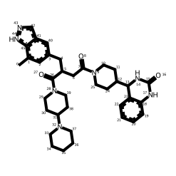 Cc1cc(CC(CC(=O)N2CCC(C3NC(=O)Nc4ccccc43)CC2)C(=O)N2CCC(N3CCCCC3)CC2)cc2cn[nH]c12